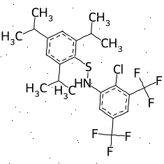 CC(C)c1cc(C(C)C)c(SNc2cc(C(F)(F)F)cc(C(F)(F)F)c2Cl)c(C(C)C)c1